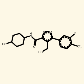 O=C(NC1CCC(O)CC1)c1noc(-c2ccc(C(F)(F)F)c(F)c2)c1CO